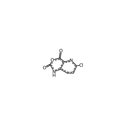 O=c1[nH]c2ccc(Cl)nc2c(=O)o1